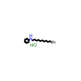 CC(C)CCCCCCCCCCNc1ccccc1.Cl